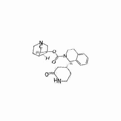 O=C1CC([C@H]2c3ccccc3CCN2C(=O)O[C@@H]2CN3CCC2CC3)CCN1